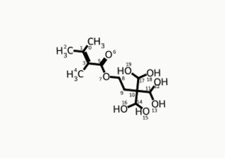 CC(C)=C(C)C(=O)OCCC(C(O)O)(C(O)O)C(O)O